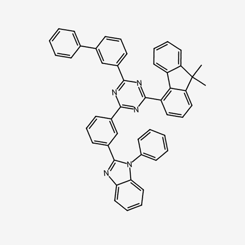 CC1(C)c2ccccc2-c2c(-c3nc(-c4cccc(-c5ccccc5)c4)nc(-c4cccc(-c5nc6ccccc6n5-c5ccccc5)c4)n3)cccc21